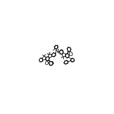 Cc1ccccc1N(c1ccc2c(c1)C(C)(C)c1cc(-c3ccccc3-c3ccccc3)c3oc4ccccc4c3c1-2)c1ccc2c(c1)C(C)(C)c1c3c(c4oc5ccccc5c4c1-2)-c1ccccc1C3(C)C